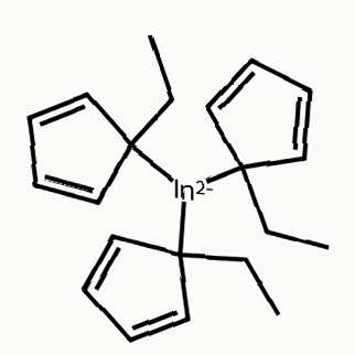 CC[C]1([In-2]([C]2(CC)C=CC=C2)[C]2(CC)C=CC=C2)C=CC=C1